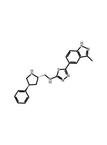 Cc1n[nH]c2ccc(-c3nnc(NC[C@@H]4C[C@@H](c5ccccc5)CN4)s3)cc12